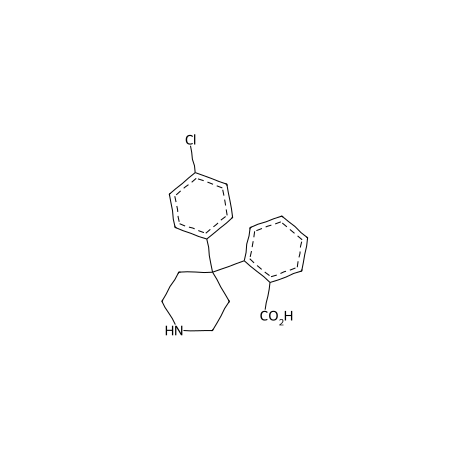 O=C(O)c1ccccc1C1(c2ccc(Cl)cc2)CCNCC1